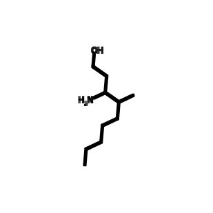 CCCCCC(C)C(N)CCO